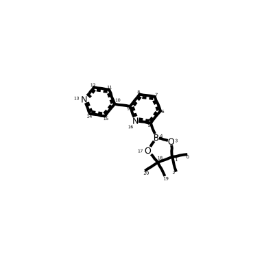 CC1(C)OB(c2cccc(-c3ccncc3)n2)OC1(C)C